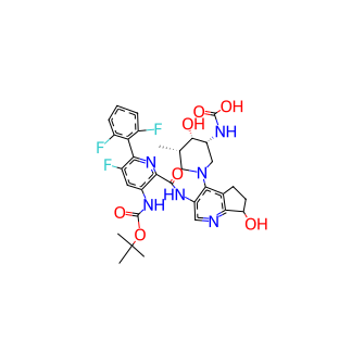 C[C@H]1CN(c2c(NC(=O)c3nc(-c4c(F)cccc4F)c(F)cc3NC(=O)OC(C)(C)C)cnc3c2CCC3O)C[C@@H](NC(=O)O)[C@H]1O